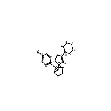 Brc1ccc(C2C3CCC(CC3)C23CCC(N2CCCCC2)=N3)cc1